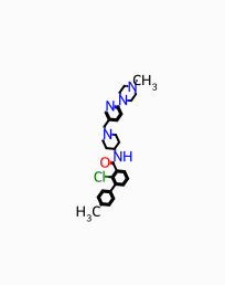 Cc1ccc(-c2cccc(C(=O)NC3CCN(Cc4ccc(N5CCN(C)CC5)nc4)CC3)c2Cl)cc1